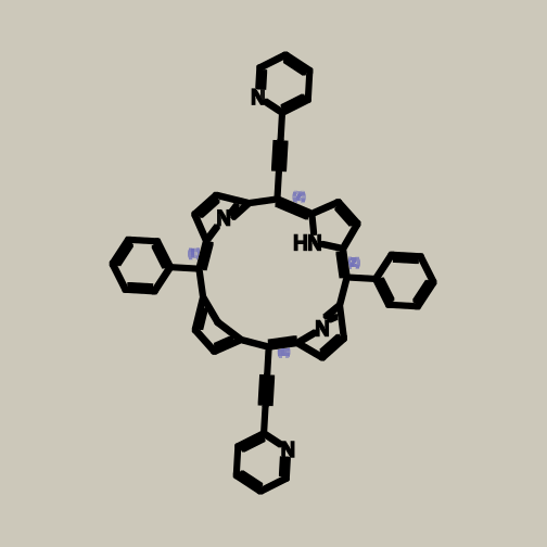 C(#Cc1ccccn1)/C1=c2\cc/c([nH]2)=C(\c2ccccc2)C2=N/C(=C(/C#Cc3ccccn3)C3=CC=C(C3)/C(c3ccccc3)=C3/C=CC1=N3)C=C2